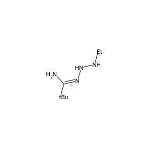 CCNN/N=C(\N)C(C)(C)C